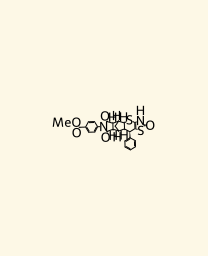 COC(=O)c1ccc(N2C(=O)[C@@H]3[C@H]4C[C@H]([C@@H]5Sc6[nH]c(=O)sc6[C@@H](c6ccccc6)[C@H]45)[C@@H]3C2=O)cc1